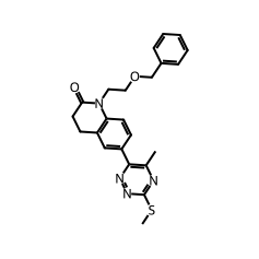 CSc1nnc(-c2ccc3c(c2)CCC(=O)N3CCOCc2ccccc2)c(C)n1